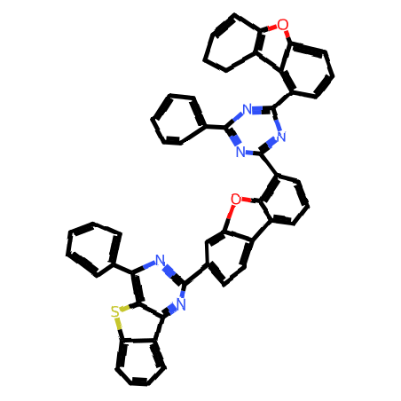 C1=Cc2oc3cccc(-c4nc(-c5ccccc5)nc(-c5cccc6c5oc5cc(-c7nc(-c8ccccc8)c8sc9ccccc9c8n7)ccc56)n4)c3c2CC1